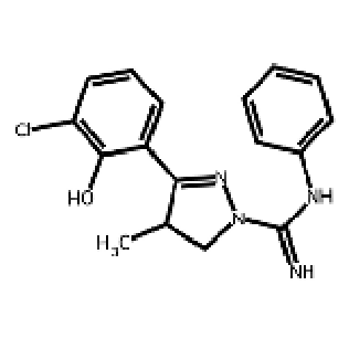 CC1CN(C(=N)Nc2ccccc2)N=C1c1cccc(Cl)c1O